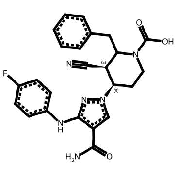 N#C[C@H]1C(Cc2ccccc2)N(C(=O)O)CC[C@H]1n1cc(C(N)=O)c(Nc2ccc(F)cc2)n1